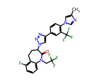 Cc1cn(-c2ccc(-c3cn(C4CCc5c(F)cccc5N(CC(F)(F)F)C4=O)nn3)cc2C(F)(F)F)cn1